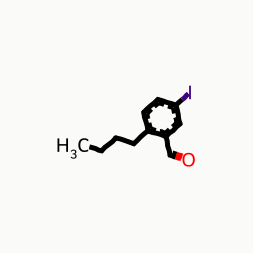 CCCCc1ccc(I)cc1C=O